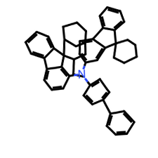 CCC1CC2CCCC(C2)C12c1ccccc1-c1cccc(N(c3ccc(-c4ccccc4)cc3)c3ccc4c(c3)C3(CCCCC3)c3ccccc3-4)c12